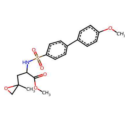 COC(=O)C(CC1(C)CO1)NS(=O)(=O)c1ccc(-c2ccc(OC)cc2)cc1